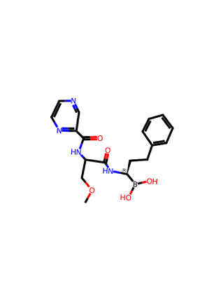 COCC(NC(=O)c1cnccn1)C(=O)N[C@@H](CCc1ccccc1)B(O)O